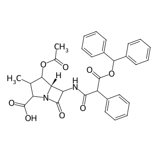 CC(=O)OC1C(C)C(C(=O)O)N2C(=O)C(NC(=O)C(C(=O)OC(c3ccccc3)c3ccccc3)c3ccccc3)[C@@H]12